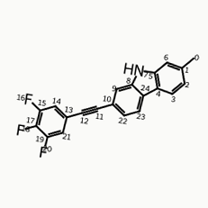 Cc1ccc2c(c1)[nH]c1cc(C#Cc3cc(F)c(F)c(F)c3)ccc12